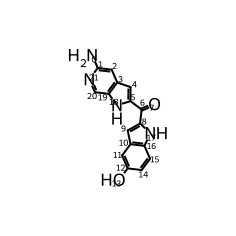 Nc1cc2cc(C(=O)c3cc4cc(O)ccc4[nH]3)[nH]c2cn1